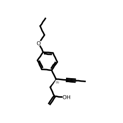 C=C(O)C[C@H](C#CC)c1ccc(OCCC)cc1